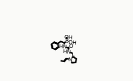 CC=CN1CCC[C@@H]1CNC(=O)NC(Cc1ccccc1)B(O)O